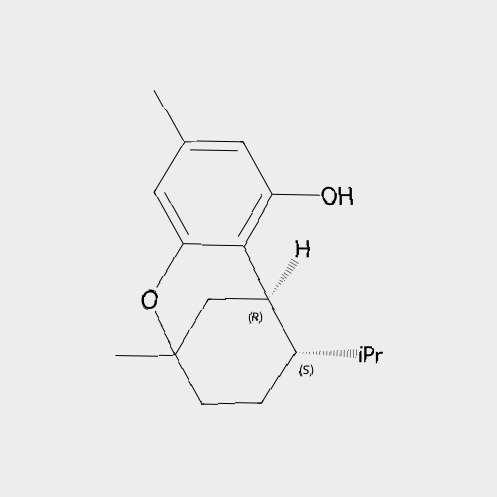 Cc1cc(O)c2c(c1)OC1(C)CC[C@@H](C(C)C)[C@H]2C1